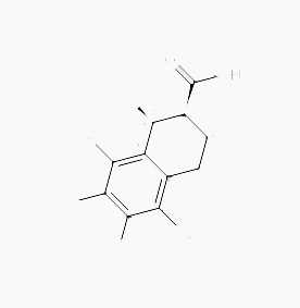 O=C(O)[C@H]1CCc2c(F)c(F)c(F)c(F)c2[C@H]1O